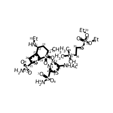 CC(=O)Nc1nnc(S(N)(=O)=O)s1.CCN[C@H]1C[C@H](C)S(=O)(=O)c2sc(S(N)(=O)=O)cc21.CCOP(=O)(OCC)SCC[N+](C)(C)C